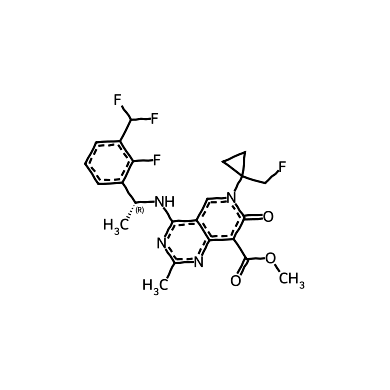 COC(=O)c1c(=O)n(C2(CF)CC2)cc2c(N[C@H](C)c3cccc(C(F)F)c3F)nc(C)nc12